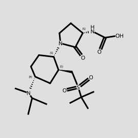 CC(C)N(C)[C@@H]1CC[C@H](N2CC[C@H](NC(=O)O)C2=O)[C@@H](CS(=O)(=O)C(C)(C)C)C1